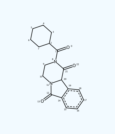 O=C(C1CCCCC1)N1CCN2C(=O)c3ccccc3C2C1=O